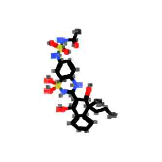 CCC(=O)NS(=O)(=O)Nc1ccc2c(c1)S(O)(O)N=C(C1=C(O)c3ccccc3C(C)(CCC(C)C)C1=O)N2